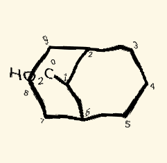 O=C(O)[C]1C2CCCC1CCC2